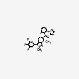 C[C@H]1c2nn(C)c(-c3cc(F)c(F)c(F)c3)c2CCN1C(=O)c1c(F)cccc1-n1cncn1